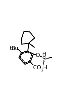 C[SiH](C)Oc1c(C(=O)O)ccc(C(C)(C)C)c1C1(C)CCCCC1